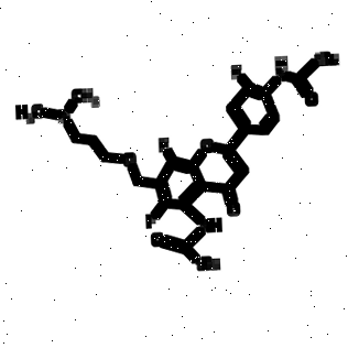 CN(C)CCCOCc1c(F)c(NC(=O)C(C)(C)C)c2c(=O)cc(-c3ccc(NC(=O)C(C)(C)C)c(F)c3)oc2c1F